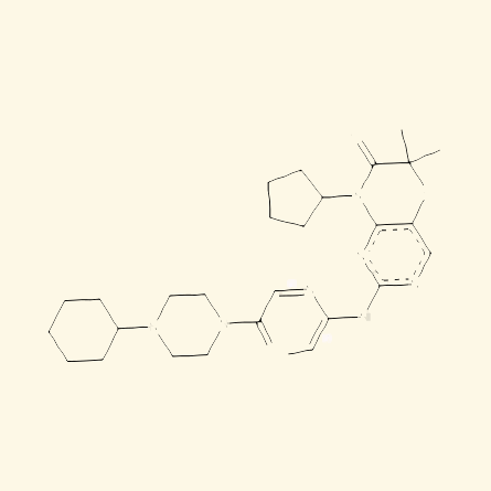 C=C(/C=N\C(=C/C)Nc1ncc2c(n1)N(C1CCCC1)C(=O)C(C)(C)O2)N1CCN(C2CCCCC2)CC1